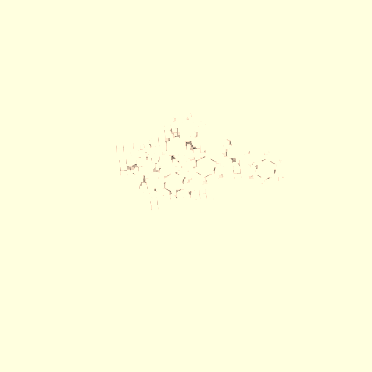 Cc1nc(C)c([C@H](OC(C)(C)C)C(=O)O)c(N2CC[C@H]3CCCC[C@H]3C2)c1-c1ccc(C(=O)NCc2ccccc2)cc1